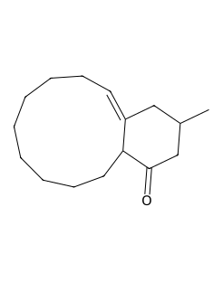 CC1CC(=O)C2CCCCCCCCC=C2C1